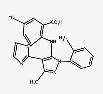 Cc1ccccc1-n1nc(C)c(-c2nccs2)c1Nc1ccc(Cl)cc1C(=O)O